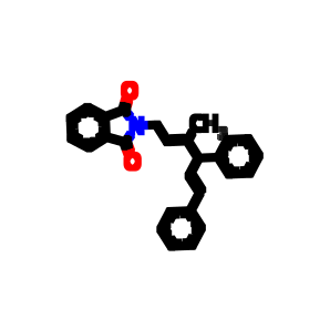 C/C(=C\CN1C(=O)c2ccccc2C1=O)C(/C=C/c1ccccc1)c1ccccc1